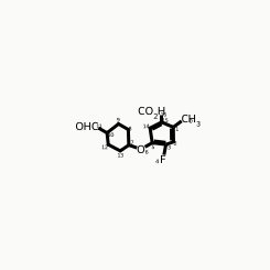 Cc1cc(F)c(OC2CCC(C=O)CC2)cc1C(=O)O